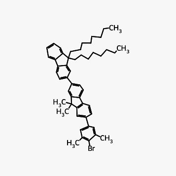 CCCCCCCCC1(CCCCCCCC)c2ccccc2-c2ccc(-c3ccc4c(c3)C(C)(C)c3cc(-c5cc(C)c(Br)c(C)c5)ccc3-4)cc21